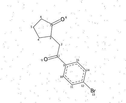 O=C(CC1CCCC1=O)c1ccc(Br)cc1